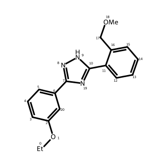 CCOc1cccc(-c2n[nH]c(-c3ccccc3COC)n2)c1